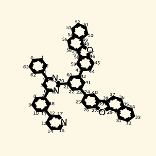 c1ccc(-c2cc(-c3cccc(-c4cccnc4)c3)nc(-c3cc(-c4ccc5oc6c7ccccc7ccc6c5c4)cc(-c4ccc5oc6c7ccccc7ccc6c5c4)c3)n2)cc1